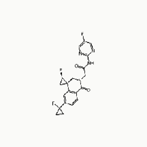 O=C(CN1C[C@]2(C[C@H]2F)c2cc(C3(F)CC3)ccc2C1=O)Nc1ncc(F)cn1